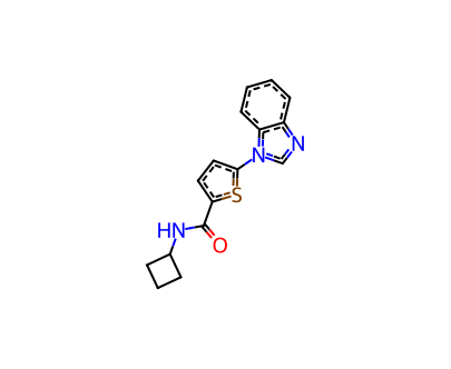 O=C(NC1CCC1)c1ccc(-n2cnc3ccccc32)s1